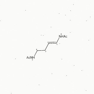 CC(=O)N/C=C/CCNC(C)=O